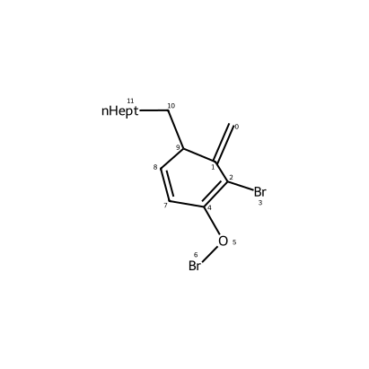 C=C1C(Br)=C(OBr)C=CC1CCCCCCCC